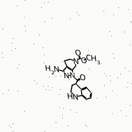 COC(=O)N1CCc2c(N)nn(C(=O)C3CCNc4ccccc43)c2C1